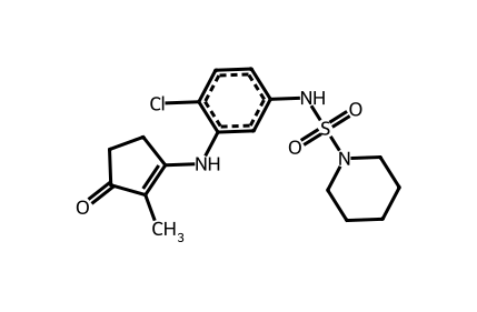 CC1=C(Nc2cc(NS(=O)(=O)N3CCCCC3)ccc2Cl)CCC1=O